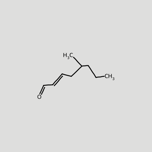 CCCC(C)CC=CC=O